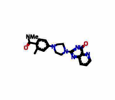 CNC(=O)c1ccc(N2CCN(c3nc4cccnc4c(=O)[nH]3)CC2)cc1C